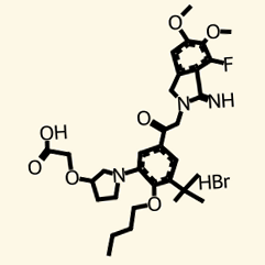 Br.CCCCOc1c(N2CCC(OCC(=O)O)C2)cc(C(=O)CN2Cc3cc(OC)c(OC)c(F)c3C2=N)cc1C(C)(C)C